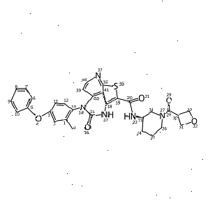 Cc1cc(Oc2ccccc2)ccc1N1C(=O)Nc2c(C(=O)N[C@@H]3CCCN(C(=O)C4COC4)C3)sc3nccc1c23